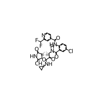 C[C@@H]1C[C@@H](C[C@H](NC(=O)c2cc(Cl)ccc2NC(=O)c2ccnc(C(F)F)c2)C(=O)C(=O)NC2CC2)C(=O)N1